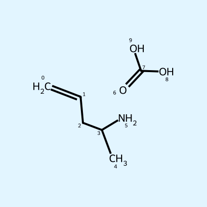 C=CCC(C)N.O=C(O)O